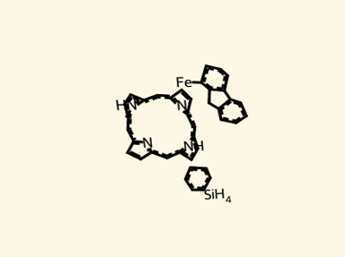 C1=Cc2cc3ccc(cc4nc(cc5ccc(cc1n2)[nH]5)C=C4)[nH]3.[Fe][c]1cccc2c1Cc1ccccc1-2.[SiH4].c1ccccc1